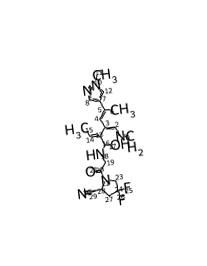 C=N/C=C(/C=C(\C)c1cnn(C)c1)C(=C/C)\C(O)NCC(=O)N1CC(F)(F)C[C@H]1C#N